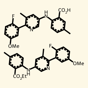 CCOC(=O)c1cc(C)ccc1Nc1cnc(-c2cc(OC)ccc2F)c(C)c1.COc1ccc(F)c(-c2ncc(Nc3ccc(C)cc3C(=O)O)cc2C)c1